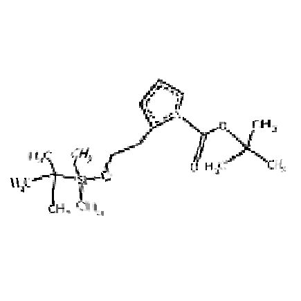 CC(C)(C)OC(=O)n1cccc1CCO[Si](C)(C)C(C)(C)C